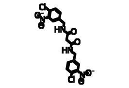 O=C(CC(=O)NCc1ccc(Cl)c([N+](=O)[O-])c1)NCc1ccc(Cl)c([N+](=O)[O-])c1